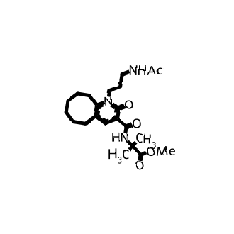 COC(=O)C(C)(C)NC(=O)c1cc2c(n(CCCNC(C)=O)c1=O)CCCCCC2